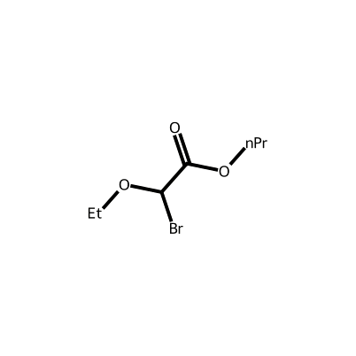 CCCOC(=O)C(Br)OCC